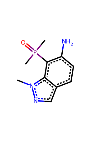 Cn1ncc2ccc(N)c(P(C)(C)=O)c21